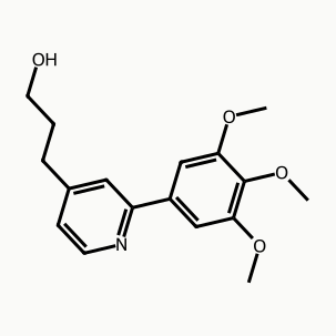 COc1cc(-c2cc(CCCO)ccn2)cc(OC)c1OC